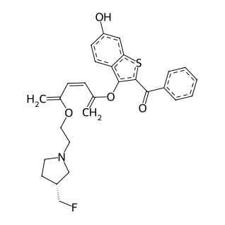 C=C(/C=C\C(=C)Oc1c(C(=O)c2ccccc2)sc2cc(O)ccc12)OCCN1CC[C@@H](CF)C1